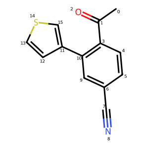 CC(=O)c1ccc(C#N)cc1-c1ccsc1